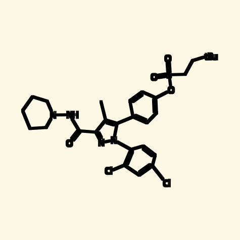 Cc1c(C(=O)NN2CCCCC2)nn(-c2ccc(Cl)cc2Cl)c1-c1ccc(OS(=O)(=O)CCC(C)(C)C)cc1